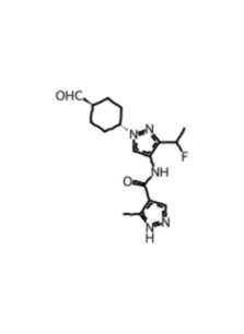 Cc1[nH]ncc1C(=O)Nc1cn([C@H]2CC[C@H](C=O)CC2)nc1C(C)F